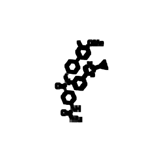 CCCCC(=O)N[C@H]1CC[C@H](C(=O)N(C[C@H]2CC[C@H](c3ccc(OC)c(C)c3)CC2)c2cccc(-c3cnc(C4CC4)s3)c2)CC1